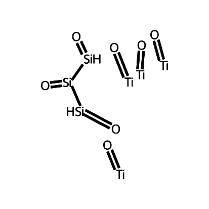 O=[SiH][Si](=O)[SiH]=O.[O]=[Ti].[O]=[Ti].[O]=[Ti].[O]=[Ti]